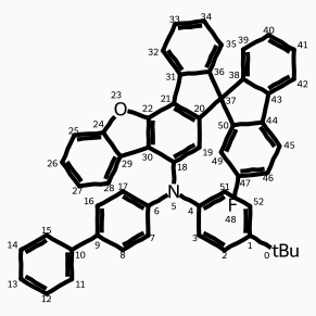 CC(C)(C)c1ccc(N(c2ccc(-c3ccccc3)cc2)c2cc3c(c4oc5ccccc5c24)-c2ccccc2C32c3ccccc3-c3ccc(F)cc32)cc1